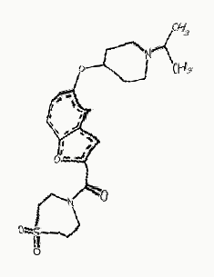 CC(C)N1CCC(Oc2ccc3oc(C(=O)N4CCS(=O)(=O)CC4)cc3c2)CC1